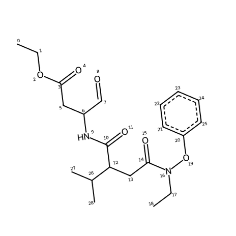 CCOC(=O)CC(C=O)NC(=O)C(CC(=O)N(CC)Oc1ccccc1)C(C)C